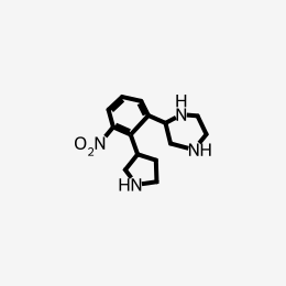 O=[N+]([O-])c1cccc(C2CNCCN2)c1C1CCNC1